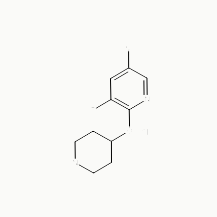 Cl.Fc1cc(Cl)cnc1OC1CCNCC1